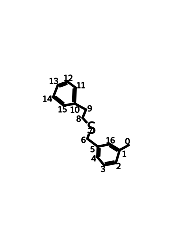 Cc1cccc(CSCCc2ccccc2)c1